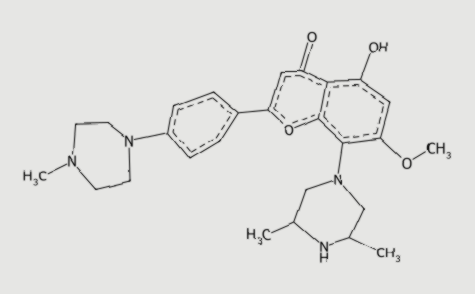 COc1cc(O)c2c(=O)cc(-c3ccc(N4CCN(C)CC4)cc3)oc2c1N1CC(C)NC(C)C1